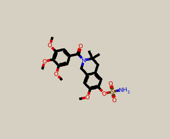 COc1cc2c(cc1OS(N)(=O)=O)CC(C)(C)N(C(=O)c1cc(OC)c(OC)c(OC)c1)C2